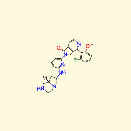 COc1cccc(F)c1-c1nccc2c1CN(c1cccc(N[C@@H]3C[C@H]4CNCCN4C3)n1)C2=O